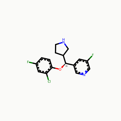 Fc1cncc([C@@H](Oc2ccc(F)cc2Cl)C2CCNC2)c1